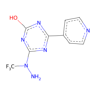 NN(c1nc(O)nc(-c2ccncc2)n1)C(F)(F)F